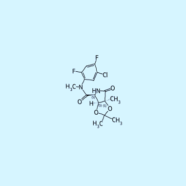 CN(C(=O)[C@H]1NC(=O)[C@@]2(C)OC(C)(C)O[C@@H]12)c1cc(Cl)c(F)cc1F